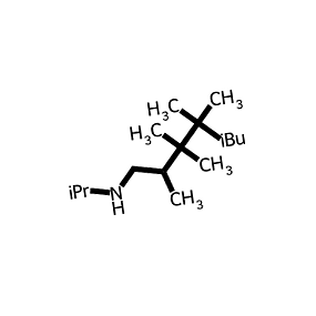 CCC(C)C(C)(C)C(C)(C)C(C)CNC(C)C